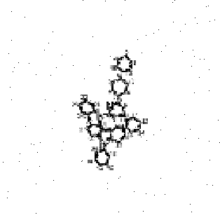 c1ccc(-c2ccc(-c3cc(-c4ccccc4)nc(-n4c5ccccc5c5ccc6c(c7ccccc7n6-c6ccccc6)c54)n3)cc2)cc1